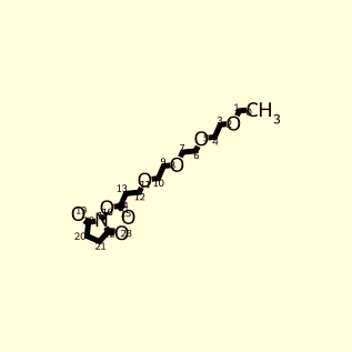 CCOCCOCCOCCOCCC(=O)ON1C(=O)CCC1=O